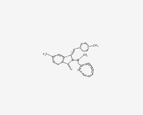 Cc1ccc(/C=C2/c3cc(C(F)(F)F)ccc3C(=O)N2N(C)c2ccccn2)cc1